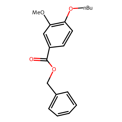 CCCCOc1ccc(C(=O)OCc2ccccc2)cc1OC